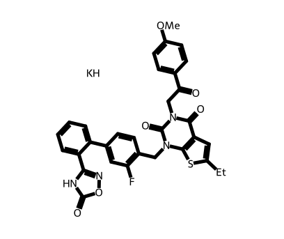 CCc1cc2c(=O)n(CC(=O)c3ccc(OC)cc3)c(=O)n(Cc3ccc(-c4ccccc4-c4noc(=O)[nH]4)cc3F)c2s1.[KH]